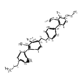 CCCc1ccc(-c2ccc(CCc3ccc(-c4ccc(OCC)c(F)c4F)cc3)c(F)c2F)cc1